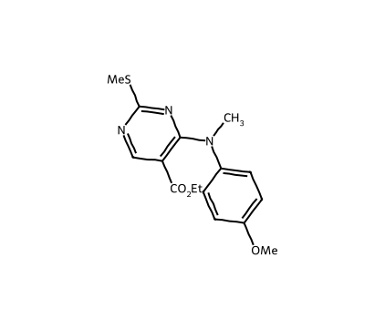 CCOC(=O)c1cnc(SC)nc1N(C)c1ccc(OC)cc1